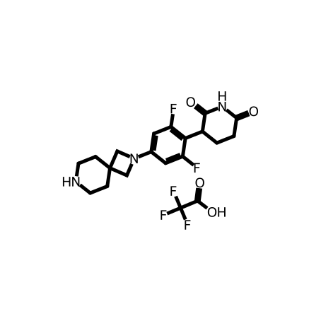 O=C(O)C(F)(F)F.O=C1CCC(c2c(F)cc(N3CC4(CCNCC4)C3)cc2F)C(=O)N1